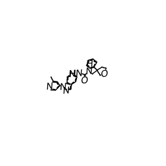 Cc1cc(-n2ncc3cc(NC(=O)NCC4(c5ccccc5)CCOC4)ncc32)ccn1